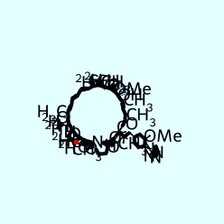 [2H]C([2H])([2H])O[C@H]1C[C@@H]2CC([2H])([2H])[C@@H](C)[C@@](O)(O2)C(=O)C(=O)N2CCCC[C@H]2C(=O)O[C@H]([C@H](C)C[C@@H]2CC[C@H](n3cnnn3)[C@H](OC)C2)CC(=O)[C@H](C)/C=C(\C)[C@@H](O)[C@@H](OC)C(=O)[C@H](C)C([2H])(C)[C@]([2H])(C)/C=C/C=C/C=C/1C